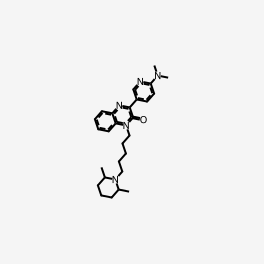 CC1CCCC(C)N1CCCCCn1c(=O)c(-c2ccc(N(C)C)nc2)nc2ccccc21